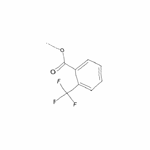 [CH2]OC(=O)c1ccccc1C(F)(F)F